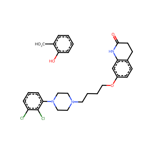 O=C(O)c1ccccc1O.O=C1CCc2ccc(OCCCCN3CCN(c4cccc(Cl)c4Cl)CC3)cc2N1